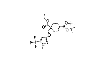 CCOC(=O)C1(COc2cc(C(F)(F)F)n(C)n2)CC=C(B2OC(C)(C)C(C)(C)O2)CC1